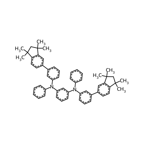 CC1(C)CC(C)(C)c2cc(-c3cccc(N(c4ccccc4)c4cccc(N(c5ccccc5)c5cccc(-c6ccc7c(c6)C(C)(C)CC7(C)C)c5)c4)c3)ccc21